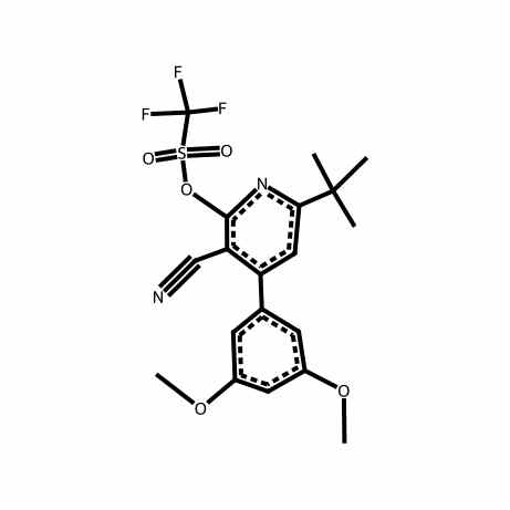 COc1cc(OC)cc(-c2cc(C(C)(C)C)nc(OS(=O)(=O)C(F)(F)F)c2C#N)c1